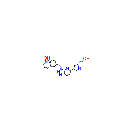 OCCn1cc(-c2ccc3nnn(Cc4ccc5c(ccc[n+]5O)c4)c3n2)cn1